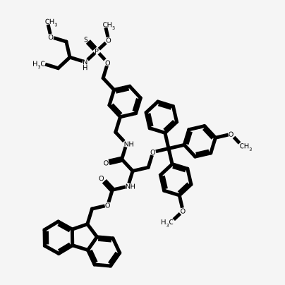 CCC(COC)NP(=S)(OC)OCc1cccc(CNC(=O)C(COC(c2ccccc2)(c2ccc(OC)cc2)c2ccc(OC)cc2)NC(=O)OCC2c3ccccc3-c3ccccc32)c1